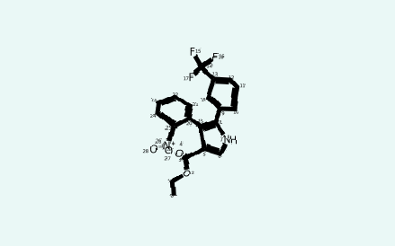 CCOC(=O)c1c[nH]c(-c2cccc(C(F)(F)F)c2)c1-c1ccccc1[N+](=O)[O-]